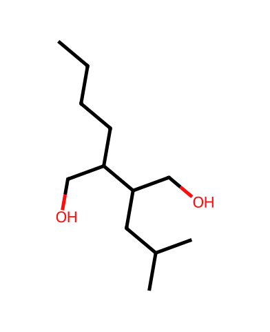 CCCCC(CO)C(CO)CC(C)C